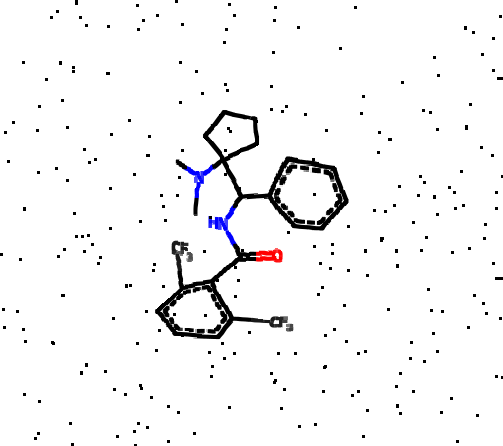 CN(C)C1(C(NC(=O)c2c(C(F)(F)F)cccc2C(F)(F)F)c2ccccc2)CCCC1